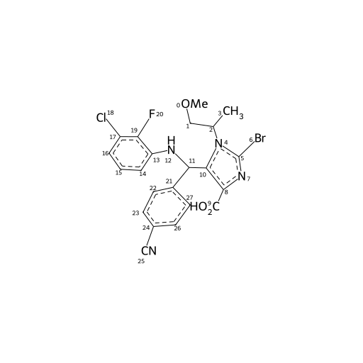 COCC(C)n1c(Br)nc(C(=O)O)c1C(Nc1cccc(Cl)c1F)c1ccc(C#N)cc1